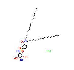 CCCCCCCCCCCCCCCCCCN(CCCCCCCCCCCCCCCCCC)C(=O)c1cccc(S(=O)(=O)Nc2cc(O)c(N)c(O)c2)c1.Cl